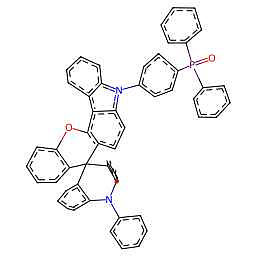 O=P(c1ccccc1)(c1ccccc1)c1ccc(-n2c3ccccc3c3c4c(ccc32)C2(c3ccccc3O4)c3ccccc3N(c3ccccc3)c3ccccc32)cc1